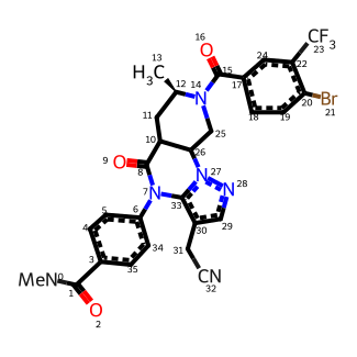 CNC(=O)c1ccc(N2C(=O)C3C[C@@H](C)N(C(=O)c4ccc(Br)c(C(F)(F)F)c4)CC3n3ncc(CC#N)c32)cc1